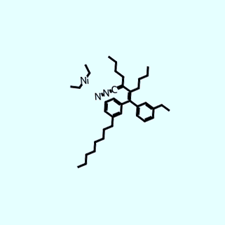 CCCCCCCCc1cccc(C(=C(CCCC)C(=C=[N+]=[N-])CCCC)c2cccc(CC)c2)c1.C[CH2][Ni][CH2]C